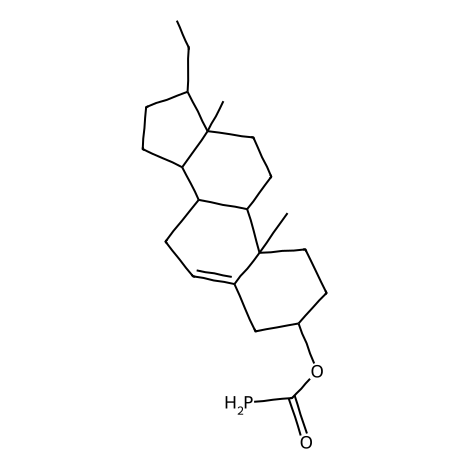 CCC1CCC2C3CC=C4CC(OC(=O)P)CCC4(C)C3CCC12C